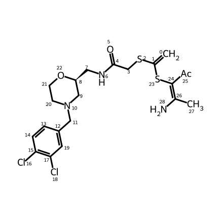 C=C(SCC(=O)NC[C@H]1CN(Cc2ccc(Cl)c(Cl)c2)CCO1)S/C(C(C)=O)=C(/C)N